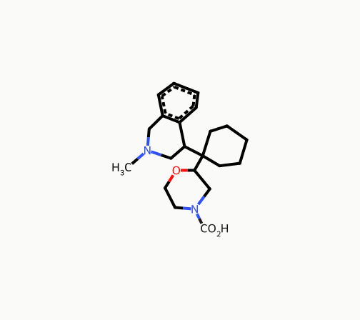 CN1Cc2ccccc2C(C2(C3CN(C(=O)O)CCO3)CCCCC2)C1